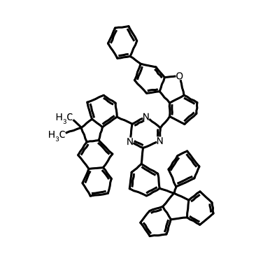 CC1(C)c2cc3ccccc3cc2-c2c(-c3nc(-c4cccc(C5(c6ccccc6)c6ccccc6-c6ccccc65)c4)nc(-c4cccc5oc6cc(-c7ccccc7)ccc6c45)n3)cccc21